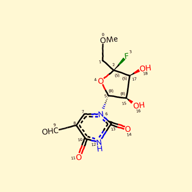 COC[C@@]1(F)O[C@@H](n2cc(C=O)c(=O)[nH]c2=O)[C@H](O)[C@@H]1O